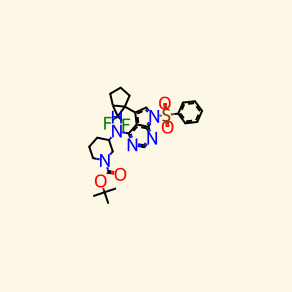 CC(C)(C)OC(=O)N1CCC[C@@H](Nc2ncnc3c2c(C24CCCC2C4(F)F)cn3S(=O)(=O)c2ccccc2)C1